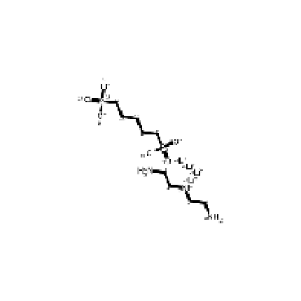 NCCNCCN.O=P([O-])([O-])CCCCCP(=O)([O-])[O-].[Li+].[Li+].[Li+].[Li+]